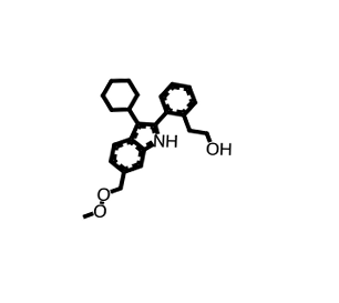 COOCc1ccc2c(C3CCCCC3)c(-c3ccccc3CCO)[nH]c2c1